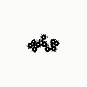 C1=CC=CC=1C1(c2ccccc2)c2ccccc2-c2cc(-c3cc(-c4cccc(-c5ccccc5Nc5cccc6ccccc56)c4)ccc3Nc3ccccc3)ccc21